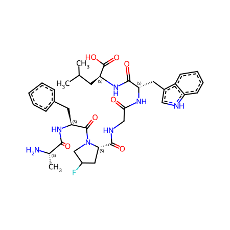 CC(C)C[C@H](NC(=O)[C@H](Cc1c[nH]c2ccccc12)NC(=O)CNC(=O)[C@@H]1CC(F)CN1C(=O)[C@H](Cc1ccccc1)NC(=O)[C@H](C)N)C(=O)O